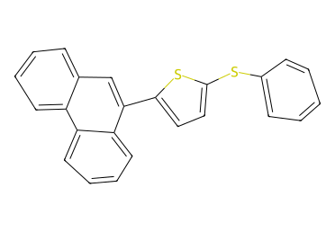 c1ccc(Sc2ccc(-c3cc4ccccc4c4ccccc34)s2)cc1